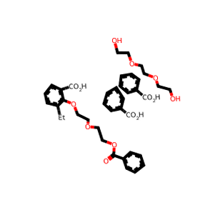 CCc1cccc(C(=O)O)c1OCCOCCOC(=O)c1ccccc1.O=C(O)c1ccccc1.O=C(O)c1ccccc1.OCCOCCOCCO